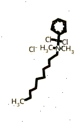 CCCCCCCCCC[N+](C)(C)C(Cl)(Cl)c1ccccc1.[Cl-]